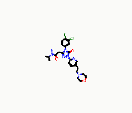 CC(C)NC(=O)Cc1nn(-c2ccc(CCN3CCOCC3)cn2)c(=O)n1-c1ccc(F)c(Cl)c1